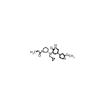 C=CC(=O)N1CCC[C@H](N(CC2CC2)c2cc(-c3ccnc(OC)c3)c[nH]c2=O)C1